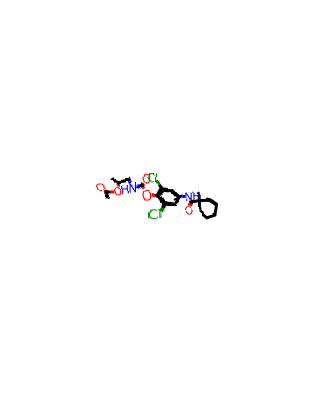 CC(=O)OC(C)CNC(=O)Oc1c(Cl)cc(NC(=O)C2(C)CCCCC2)cc1Cl